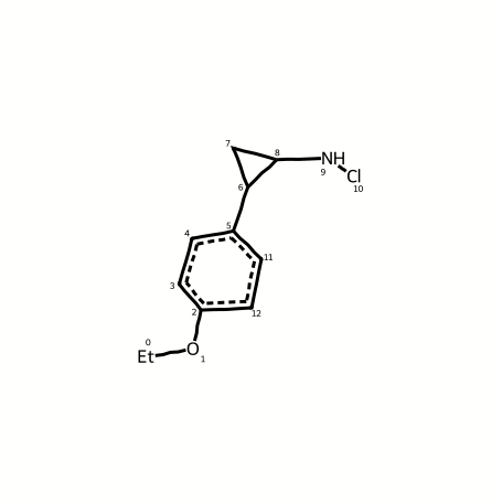 CCOc1ccc(C2CC2NCl)cc1